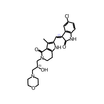 Cc1c(/C=C2\C(=O)Nc3ccc(Cl)cc32)[nH]c2c1C(=O)N(C[C@@H](O)CN1CCOCC1)CC2